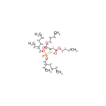 CCCCOC(=O)CC(SP(=S)(OCC(CC)CCCC)OCC(CC)CCCC)C(=O)OCCCC